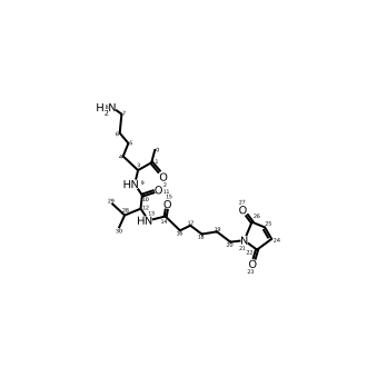 CC(=O)C(CCCCN)NC(=O)C(NC(=O)CCCCCN1C(=O)C=CC1=O)C(C)C